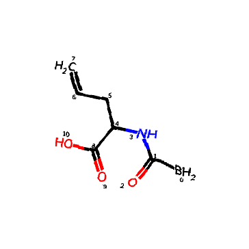 BC(=O)NC(CC=C)C(=O)O